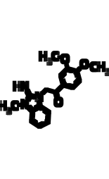 COc1ccc(C(=O)Cn2c(=N)n(C)c3ccccc32)cc1OC